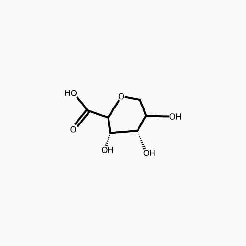 O=C(O)C1OCC(O)[C@H](O)[C@@H]1O